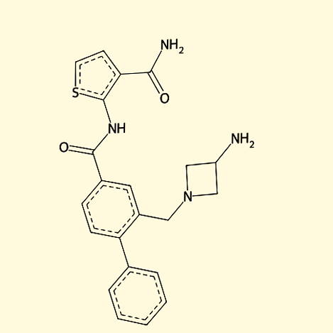 NC(=O)c1ccsc1NC(=O)c1ccc(-c2ccccc2)c(CN2CC(N)C2)c1